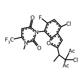 CC(=O)C(Cl)(C(C)=O)C(C)c1cc2c(Cl)cc(F)c(-n3c(=O)cc(C(F)(F)F)n(C)c3=O)c2o1